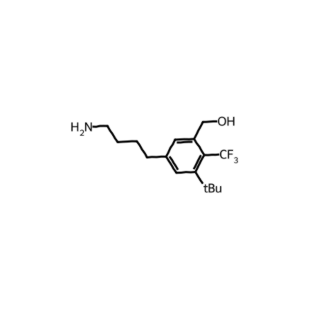 CC(C)(C)c1cc(CCCCN)cc(CO)c1C(F)(F)F